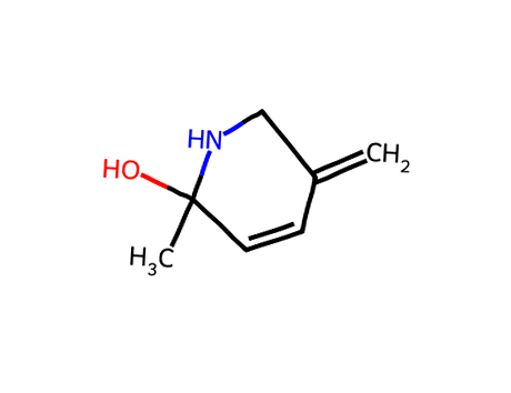 C=C1C=CC(C)(O)NC1